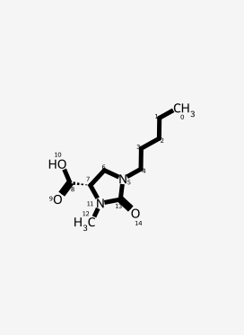 CCCCCN1C[C@@H](C(=O)O)N(C)C1=O